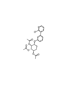 CC(=O)O[C@@H]1[C@@H](OC(C)=O)[C@@H](Oc2cccc(-c3cccnc3Cl)c2)SC[C@H]1OC(C)=O